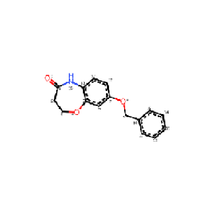 O=C1CCOc2cc(OCc3ccccc3)ccc2N1